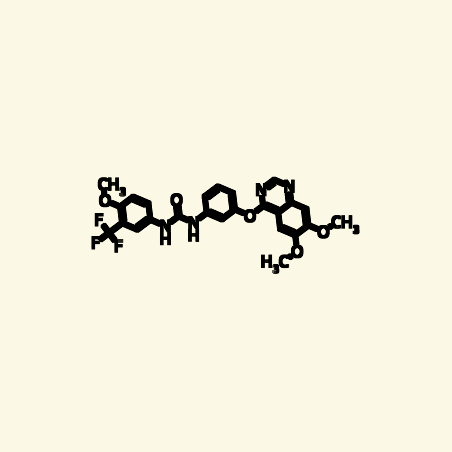 COc1cc2ncnc(Oc3cccc(NC(=O)Nc4ccc(OC)c(C(F)(F)F)c4)c3)c2cc1OC